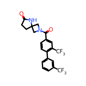 O=C1CCC2(CN(C(=O)c3ccc(-c4cccc(C(F)(F)F)c4)c(C(F)(F)F)c3)C2)N1